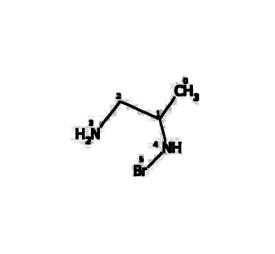 CC(CN)NBr